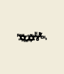 CC(Br)C(=O)Nc1ccc(Cc2ccc(F)cc2)cn1